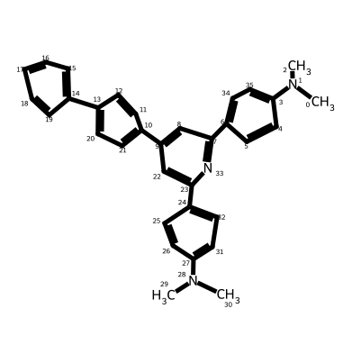 CN(C)c1ccc(-c2cc(-c3ccc(-c4ccccc4)cc3)cc(-c3ccc(N(C)C)cc3)n2)cc1